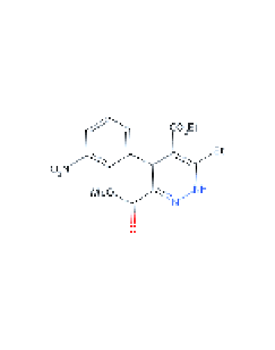 CCOC(=O)C1=C(CC)NN=C(C(=O)OC)C1c1cccc([N+](=O)[O-])c1